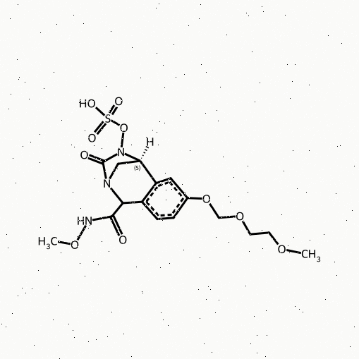 COCCOCOc1ccc2c(c1)[C@H]1CN(C(=O)N1OS(=O)(=O)O)C2C(=O)NOC